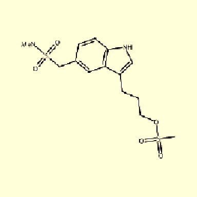 CNS(=O)(=O)Cc1ccc2[nH]cc(CCCOS(C)(=O)=O)c2c1